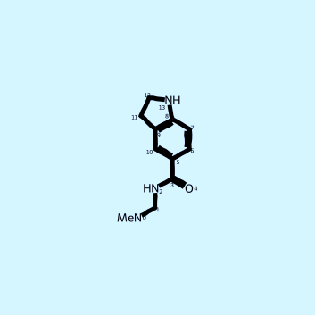 CNCNC(=O)c1ccc2c(c1)CCN2